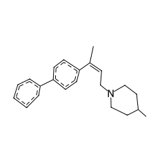 CC(=CCN1CCC(C)CC1)c1ccc(-c2ccccc2)cc1